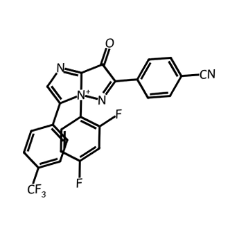 N#Cc1ccc(C2=N[N+]3(c4ccc(F)cc4F)C(c4ccc(C(F)(F)F)cc4)=CN=C3C2=O)cc1